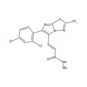 CC(C)(C)NC(=O)/C=C/c1c(-c2ccc(Cl)cc2Cl)nc2sc(C(F)(F)F)nn12